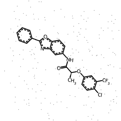 C[C@H](Oc1ccc(Cl)c(C(F)(F)F)c1)C(=O)Nc1ccc2oc(-c3ccccc3)nc2c1